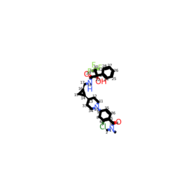 CN(C)C(=O)C1=C(Cl)CC(N2CCC([C@H]3C[C@H]3CNC(=O)C(O)(c3ccccc3)C(F)(F)F)CC2)C=C1